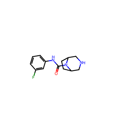 O=C(Nc1cccc(F)c1)N1C2CCC1CNC2